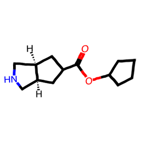 O=C(OC1CCCC1)C1C[C@H]2CNC[C@H]2C1